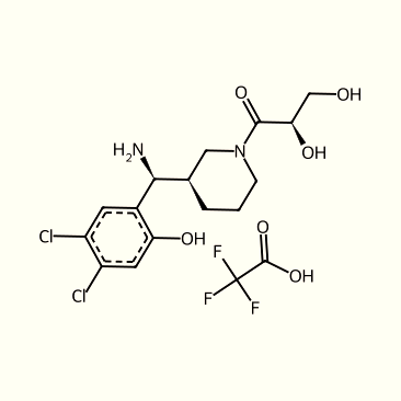 N[C@H](c1cc(Cl)c(Cl)cc1O)[C@@H]1CCCN(C(=O)[C@H](O)CO)C1.O=C(O)C(F)(F)F